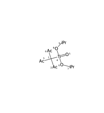 CC(=O)[C](C(C)=O)(C(C)=O)[Ti](=[O])([O]C(C)C)[O]C(C)C